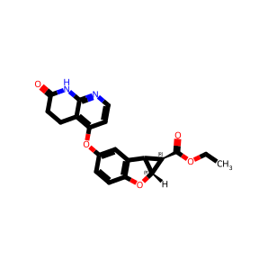 CCOC(=O)[C@@H]1C2c3cc(Oc4ccnc5c4CCC(=O)N5)ccc3O[C@H]21